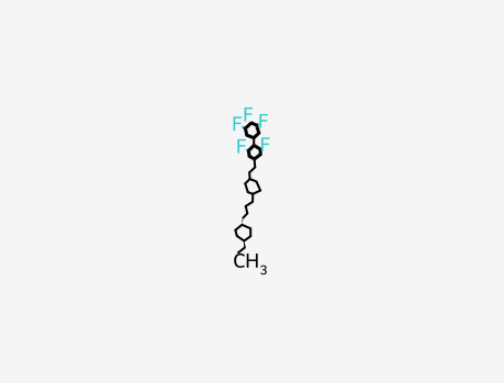 CCC[C@H]1CC[C@H](CCCCC2CCC(CCc3cc(F)c(-c4cc(F)c(F)c(F)c4)c(F)c3)CC2)CC1